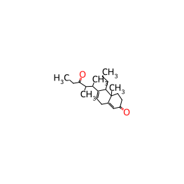 CCCC1C(C(C)C(C)C(=O)CC)=CCC2=CC(=O)CCC21C